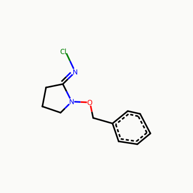 Cl/N=C1\CCCN1OCc1ccccc1